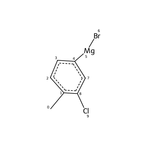 Cc1cc[c]([Mg][Br])cc1Cl